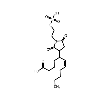 CCCC/C=C\C(CCCC(=O)O)C1CC(=O)N(CCOS(=O)(=O)O)C1=O